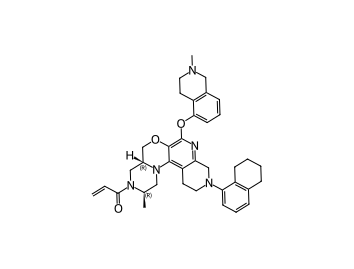 C=CC(=O)N1C[C@@H]2COc3c(Oc4cccc5c4CCN(C)C5)nc4c(c3N2C[C@H]1C)CCN(c1cccc2c1CCCC2)C4